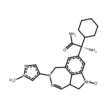 Cn1cc(N2Cc3cc([C@@](N)(C(N)=O)C4CCCCC4)cc4c3C(C=N2)C[NH+]4[O-])cn1